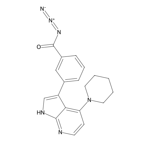 [N-]=[N+]=NC(=O)c1cccc(-c2c[nH]c3nccc(N4CCCCC4)c23)c1